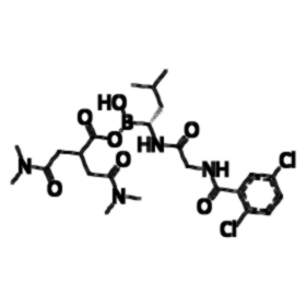 CC(C)C[C@H](NC(=O)CNC(=O)c1cc(Cl)ccc1Cl)B(O)OC(=O)C(CC(=O)N(C)C)CC(=O)N(C)C